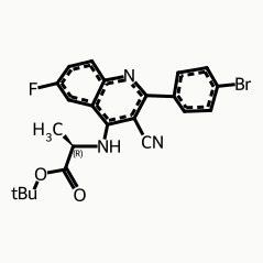 C[C@@H](Nc1c(C#N)c(-c2ccc(Br)cc2)nc2ccc(F)cc12)C(=O)OC(C)(C)C